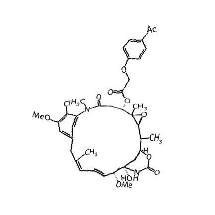 COc1cc2cc(c1Cl)N(C)C(=O)C[C@H](OC(=O)COc1ccc(C(C)=O)cc1)C1(C)OC1C(C)[C@@H]1C[C@@](O)(NC(=O)O1)[C@H](OC)/C=C/C=C(\C)C2